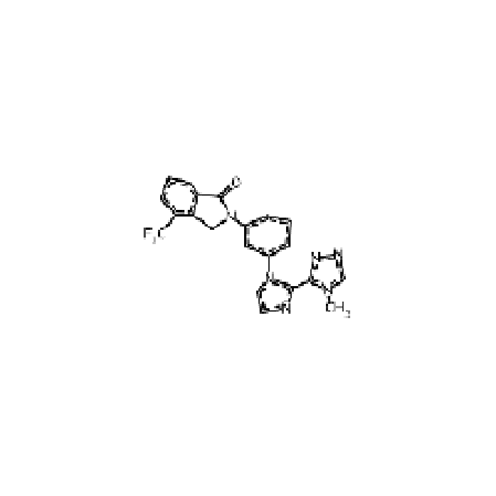 Cn1cnnc1-c1nccn1-c1cccc(N2Cc3c(cccc3C(F)(F)F)C2=O)c1